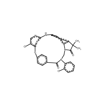 CC1(C)C(=O)N2CN(c3ccccc3Cl)C(=O)c3ccc(cc3)Oc3nc(ncc3Cl)Nc3ccc2c1c3